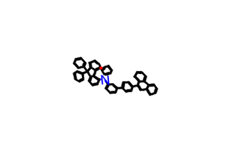 c1ccc(N(c2cccc(-c3ccc(-c4cc5ccccc5c5ccccc45)cc3)c2)c2cccc3c2-c2ccccc2C3(c2ccccc2)c2ccccc2)cc1